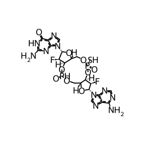 Nc1nc2c(ncn2[C@@H]2O[C@@H]3CO[P@@](=O)(S)O[C@H]4[C@@H](F)[C@H](n5cnc6c(N)ncnc65)O[C@@H]4CO[PH](=O)O[C@H]3[C@H]2F)c(=O)[nH]1